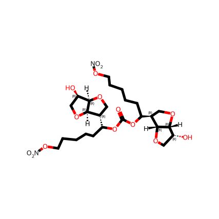 O=C(OC(CCCCCO[N+](=O)[O-])[C@H]1CO[C@H]2[C@@H]1OC[C@H]2O)OC(CCCCCO[N+](=O)[O-])[C@H]1CO[C@H]2[C@@H]1OC[C@H]2O